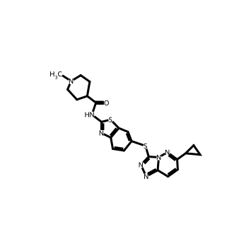 CN1CCC(C(=O)Nc2nc3ccc(Sc4nnc5ccc(C6CC6)nn45)cc3s2)CC1